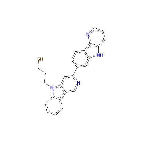 SCCCn1c2ccccc2c2cnc(-c3ccc4c(c3)[nH]c3cccnc34)cc21